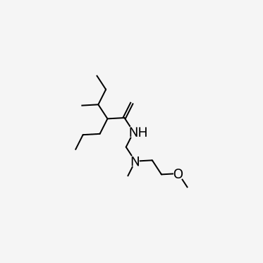 C=C(NCN(C)CCOC)C(CCC)C(C)CC